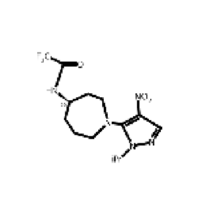 CC(C)n1ncc([N+](=O)[O-])c1N1CCC[C@@H](NC(=O)C(F)(F)F)CC1